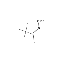 CON=C(C)C(C)(C)C